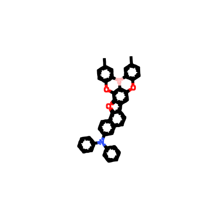 Cc1ccc2c(c1)B1c3cc(C)ccc3Oc3c1c(cc1c3oc3c4ccc(N(c5ccccc5)c5ccccc5)cc4ccc13)O2